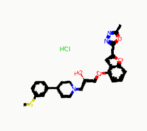 CSc1cccc(C2CCN(C[C@H](O)COc3cccc4oc(-c5nnc(C)o5)cc34)CC2)c1.Cl